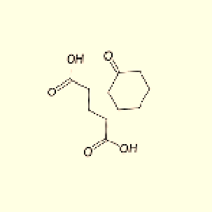 O=C(O)CCCC(=O)O.O=C1CCCCC1